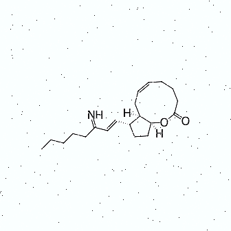 CCCCCC(=N)/C=C/[C@H]1CC[C@@H]2OC(=O)CCC/C=C\C[C@@H]21